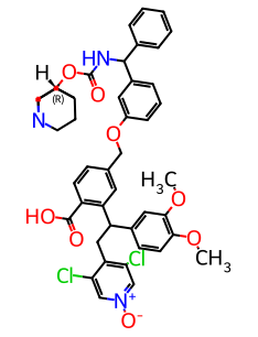 COc1ccc(C(Cc2c(Cl)c[n+]([O-])cc2Cl)c2cc(COc3cccc(C(NC(=O)O[C@H]4CN5CCC4CC5)c4ccccc4)c3)ccc2C(=O)O)cc1OC